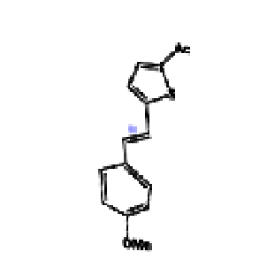 COc1ccc(/C=C/c2ccc(C(C)=O)s2)cc1